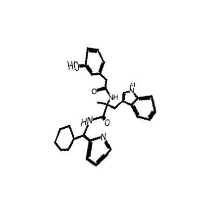 CC(Cc1c[nH]c2ccccc12)(NC(=O)Cc1cccc(O)c1)C(=O)NC(c1ccccn1)C1CCCCC1